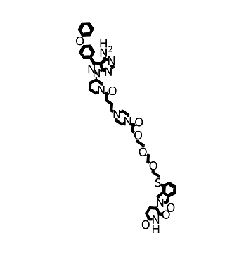 Nc1ncnc2c1c(-c1ccc(Oc3ccccc3)cc1)nn2[C@@H]1CCCN(C(=O)CCCN2CCN(C(=O)COCCOCCOCCSc3cccc4c3CN(C3CCC(=O)NC3=O)C4=O)CC2)C1